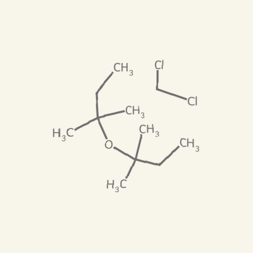 CCC(C)(C)OC(C)(C)CC.ClCCl